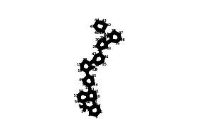 CC1(C)c2ccccc2-c2ccc(-c3ccc(-c4cccc5c4sc4ccc(-c6ccc7c(c6)c6ccccc6n7-c6ccccc6)cc45)cc3)c3cccc1c23